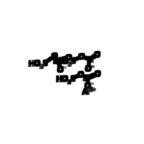 O=[Si]([O-])OS(=O)(=O)O.O=[Si]([O-])OS(=O)(=O)O.O=[Si]([O-])OS(=O)(=O)O.[Al+3]